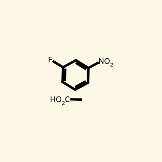 CC(=O)O.O=[N+]([O-])c1cccc(F)c1